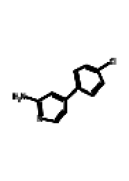 Nc1cc(-c2ccc(Cl)cc2)ccn1